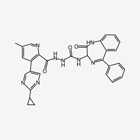 Cc1cnc(C(=O)NNC(=O)NC2N=C(c3ccccc3)c3ccccc3NC2=O)c(-c2cnc(C3CC3)nc2)c1